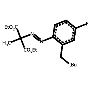 CCOC(=O)C(C)(/N=N/c1ccc(F)cc1CC(C)(C)C)C(=O)OCC